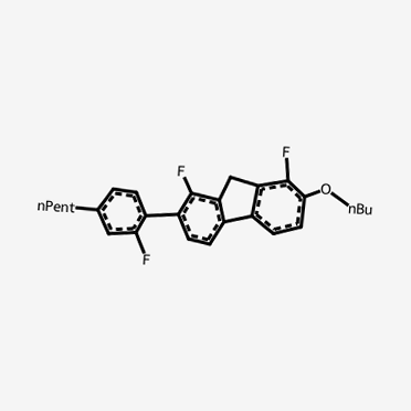 CCCCCc1ccc(-c2ccc3c(c2F)Cc2c-3ccc(OCCCC)c2F)c(F)c1